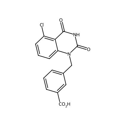 O=C(O)c1cccc(Cn2c(=O)[nH]c(=O)c3c(Cl)cccc32)c1